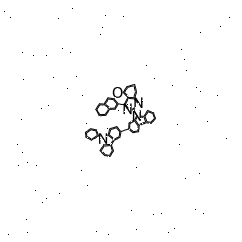 c1ccc(-n2c3ccccc3c3cc(-c4ccc5c6ccccc6n(-c6nc7c8c(cccc8n6)Oc6cc8ccccc8cc6-7)c5c4)ccc32)cc1